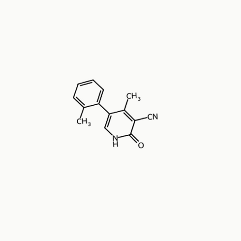 Cc1ccccc1-c1c[nH]c(=O)c(C#N)c1C